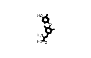 Cc1cc(Oc2c(C)cc(C[C@H](N)C(=O)O)cc2C)ccc1O